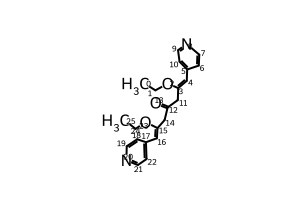 CCOC(=Cc1ccncc1)CC(=O)CC(=Cc1ccncc1)OCC